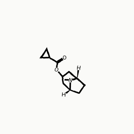 CN1[C@@H]2CC[C@H]1CC(OC(=O)C1CC1)C2